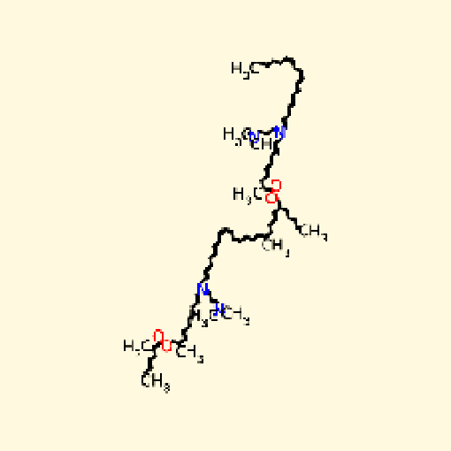 CCCCC/C=C\C/C=C\CCCCCCCCN(CCCCCCCCC(C)C(=O)OCC(CCCCC)CCCCC(C)CCC/C=C\C/C=C\CCCCCCCCN(CCCCCCCCC(C)COC(=O)C(C)CCCCC)CCCN(C)C)CCCN(C)C